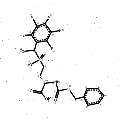 COC(=O)[C@H](CCP(=O)(O)C(O)c1c(F)c(F)c(F)c(F)c1F)NC(=O)OCc1ccccc1